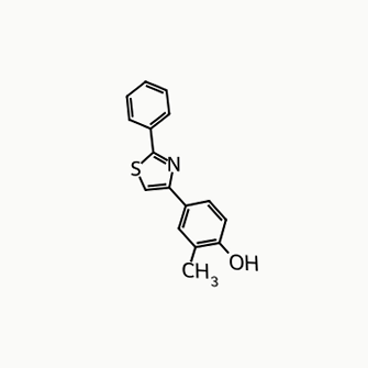 Cc1cc(-c2csc(-c3ccccc3)n2)ccc1O